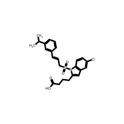 CC(C)c1cccc(C=CCS(=O)(=O)n2c(CCCC(=O)O)cc3cc(Cl)ccc32)c1